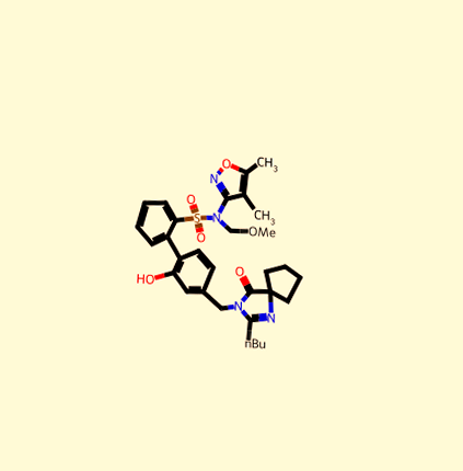 CCCCC1=NC2(CCCC2)C(=O)N1Cc1ccc(-c2ccccc2S(=O)(=O)N(COC)c2noc(C)c2C)c(O)c1